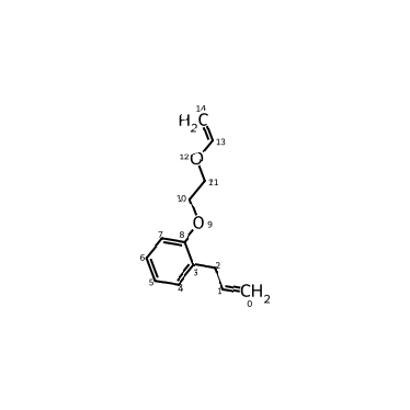 C=CCc1ccccc1OCCOC=C